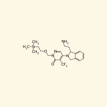 C[Si](C)(C)CCOCn1ncc(N2Cc3ccccc3C2CCN)c(C(F)(F)F)c1=O